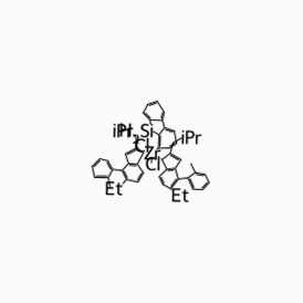 CCc1ccc2c(c1-c1ccccc1C)C=C(CC(C)C)[CH]2[Zr]([Cl])([Cl])([c]1cccc2c1[SiH2]c1ccccc1-2)[CH]1C(CC(C)C)=Cc2c1ccc(CC)c2-c1ccccc1C